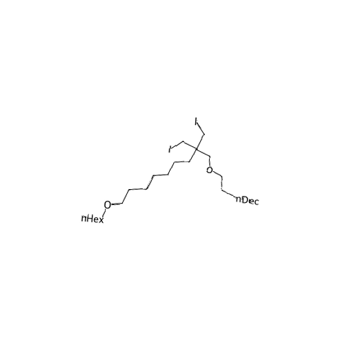 CCCCCCCCCCCCOCC(CI)(CI)CCCCCCCOCCCCCC